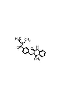 C=C1c2ccccc2NC(=O)N1Cc1ccc(C(=O)N(CC)CC)cc1